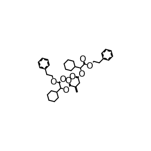 C=C(CC(=O)OC(C(=O)OCCc1ccccc1)C1CCCCC1)C(=O)OC(C(=O)OCCc1ccccc1)C1CCCCC1